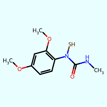 CNC(=O)N(S)c1ccc(OC)cc1OC